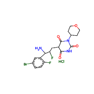 Cl.NC(c1cc(Br)ccc1F)C(F)CC1C(=O)NC(=O)N(C2CCOCC2)C1=O